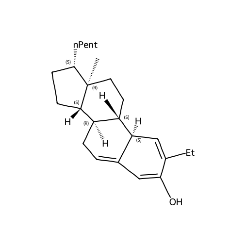 CCCCC[C@H]1CC[C@H]2[C@@H]3CC=C4C=C(O)C(CC)=C[C@@H]4[C@H]3CC[C@]12C